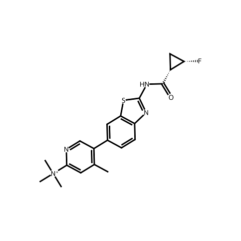 Cc1cc([N+](C)(C)C)ncc1-c1ccc2nc(NC(=O)[C@@H]3C[C@@H]3F)sc2c1